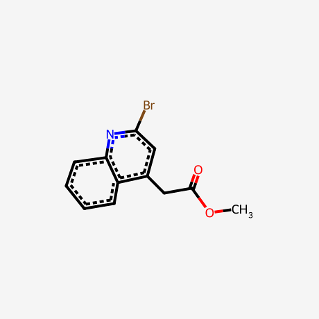 COC(=O)Cc1cc(Br)nc2ccccc12